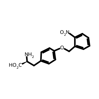 N[C@@H](Cc1ccc(OCc2ccccc2[N+](=O)[O-])cc1)C(=O)O